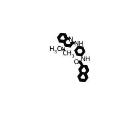 CN(C)c1cc(N[C@H]2CC[C@@H](NC(=O)c3ccc4ccccc4c3)CC2)nc2ccccc12